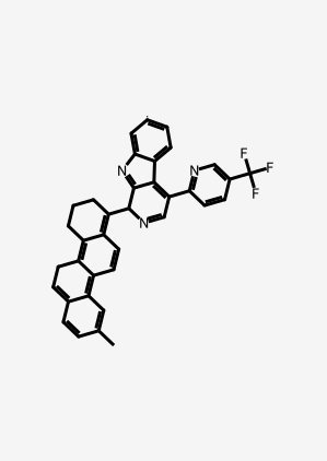 Cc1ccc2c(c1)=c1ccc3c(c1CC=2)CCCC=3C1N=CC(c2ccc(C(F)(F)F)cn2)=C2C1=Nc1c[c]ccc12